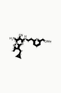 COCc1cccc(CCNc2nc3c(CC4CC4)c(C)nn3c(N)c2C#N)n1